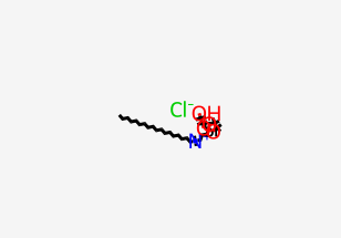 CCCCCCCCCCCCCCCCCC[N+](C)(C)CCC[Si]1(OC(C)(C)C(C)(C)O)OC(C)(C)C(C)(C)O1.[Cl-]